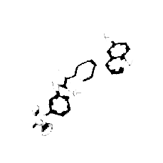 C[C@H](c1nc2cc(S(C)(=O)=O)ccc2[nH]1)[C@H]1CC[C@@H](c2ccnc3ccc(F)cc32)CC1